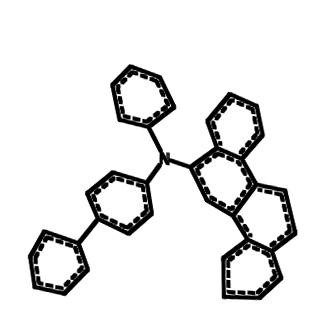 c1ccc(-c2ccc(N(c3ccccc3)c3cc4c5ccccc5ccc4c4ccccc34)cc2)cc1